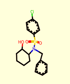 O=S(=O)(c1ccc(Cl)cc1)N(Cc1ccccc1)C1CCCCC1O